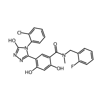 CN(Cc1ccccc1F)C(=O)c1cc(-c2nnc(O)n2-c2ccccc2Cl)c(O)cc1O